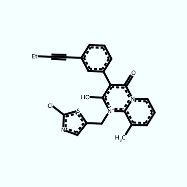 CCC#Cc1cccc(-c2c(O)[n+](Cc3cnc(Cl)s3)c3c(C)cccn3c2=O)c1